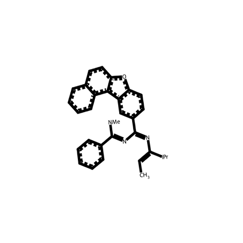 CC=C(N=C(/N=C(\NC)c1ccccc1)c1ccc2oc3ccc4ccccc4c3c2c1)C(C)C